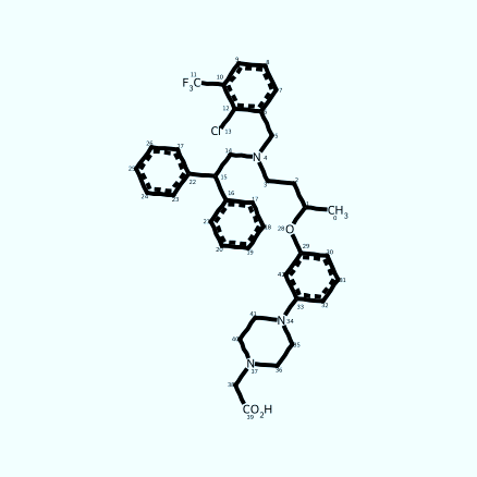 CC(CCN(Cc1cccc(C(F)(F)F)c1Cl)CC(c1ccccc1)c1ccccc1)Oc1cccc(N2CCN(CC(=O)O)CC2)c1